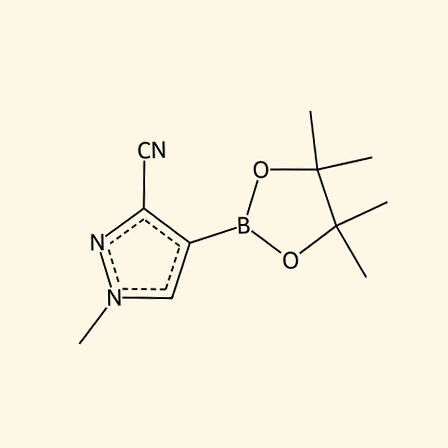 Cn1cc(B2OC(C)(C)C(C)(C)O2)c(C#N)n1